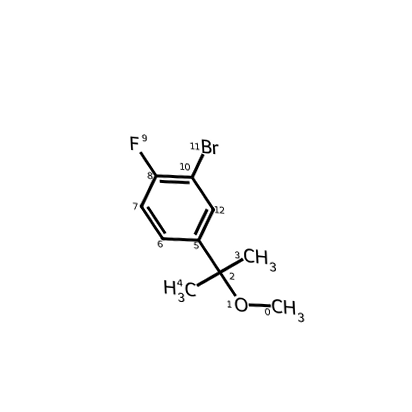 COC(C)(C)c1ccc(F)c(Br)c1